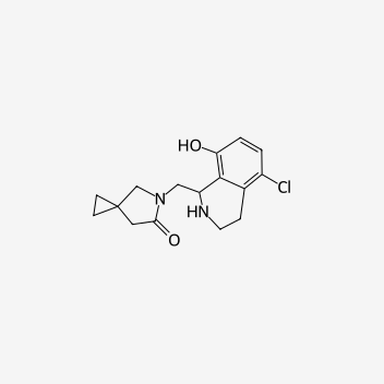 O=C1CC2(CC2)CN1CC1NCCc2c(Cl)ccc(O)c21